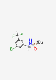 C[C@@H](N[S@+]([O-])C(C)(C)C)c1cc(Br)cc(C(C)(F)F)c1